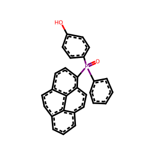 O=P(c1ccccc1)(c1ccc(O)cc1)c1ccc2ccc3cccc4ccc1c2c34